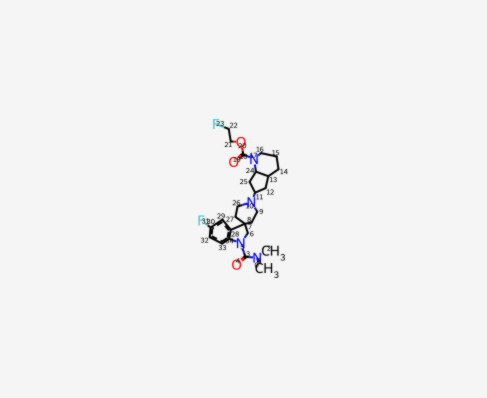 CN(C)C(=O)N1CC2(CCN(C3CC4CCCN(C(=O)OCCF)C4C3)CC2)c2cc(F)ccc21